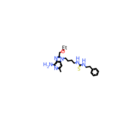 CCOCc1nc2c(N)nc(C)cc2n1CCCCNC(=S)NCCc1ccccc1